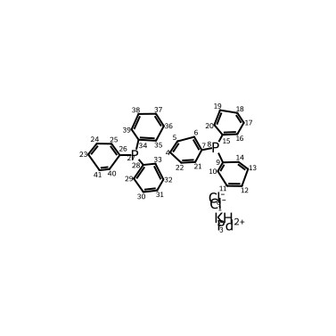 [Cl-].[Cl-].[KH].[Pd+2].c1ccc(P(c2ccccc2)c2ccccc2)cc1.c1ccc(P(c2ccccc2)c2ccccc2)cc1